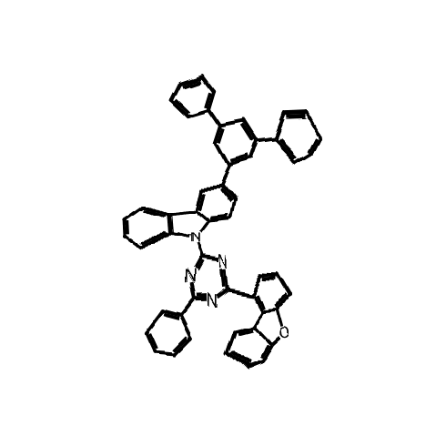 c1ccc(-c2cc(-c3ccccc3)cc(-c3ccc4c(c3)c3ccccc3n4-c3nc(-c4ccccc4)nc(-c4cccc5oc6ccccc6c45)n3)c2)cc1